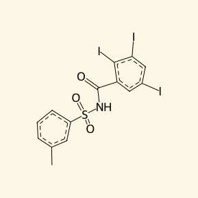 Cc1cccc(S(=O)(=O)NC(=O)c2cc(I)cc(I)c2I)c1